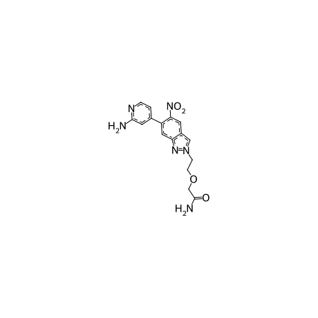 NC(=O)COCCn1cc2cc([N+](=O)[O-])c(-c3ccnc(N)c3)cc2n1